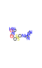 O=c1[nH]cccc1N1CCOC(c2cccc3c2Sc2ccc(NCc4cncc(-n5ccnc5)c4)cc2S3)C1